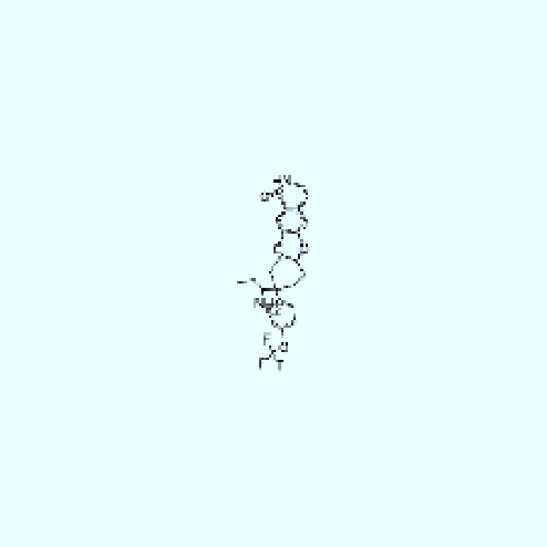 CCC(N)[C@]1(c2ccc(OC(F)(F)F)cc2)CC[C@H](Oc2cc3cc[nH]c(=O)c3cc2Cl)CC1